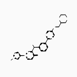 CCn1cc(-n2ccc(=O)c(C(C)c3cccc(-c4ncc(OCC5COCCO5)cn4)c3)n2)cn1